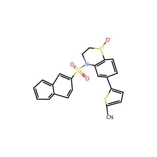 N#Cc1ccc(-c2ccc3c(c2)N(S(=O)(=O)c2ccc4ccccc4c2)CC[S+]3[O-])s1